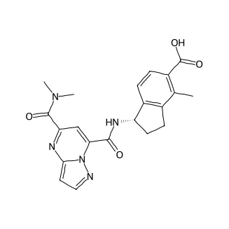 Cc1c(C(=O)O)ccc2c1CC[C@@H]2NC(=O)c1cc(C(=O)N(C)C)nc2ccnn12